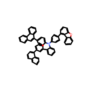 c1cc(-c2ccccc2N(c2ccc(-c3cc4ccccc4c4ccccc34)cc2)c2ccc(-c3cccc4oc5ccccc5c34)cc2)cc(-c2cccc3ccccc23)c1